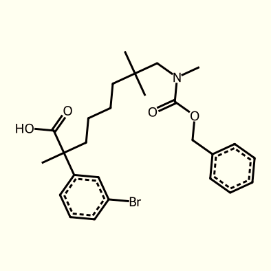 CN(CC(C)(C)CCCCC(C)(C(=O)O)c1cccc(Br)c1)C(=O)OCc1ccccc1